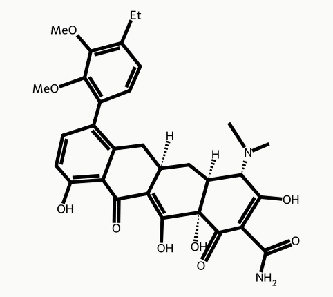 CCc1ccc(-c2ccc(O)c3c2C[C@H]2C[C@H]4[C@H](N(C)C)C(O)=C(C(N)=O)C(=O)[C@@]4(O)C(O)=C2C3=O)c(OC)c1OC